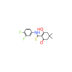 CC1(C)CC(=O)C(C(=S)Nc2ccc(F)c(F)c2)=C(O)C1